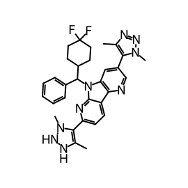 CC1=C(c2ccc3c4ncc(-c5c(C)nnn5C)cc4n(C(c4ccccc4)C4CCC(F)(F)CC4)c3n2)N(C)NN1